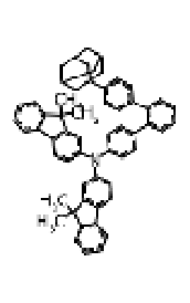 CC1(C)c2ccccc2-c2ccc(N(c3ccc(-c4ccccc4-c4ccc(C56CC7CC(CC(C7)C5)C6)cc4)cc3)c3ccc4c(c3)C(C)(C)c3ccccc3-4)cc21